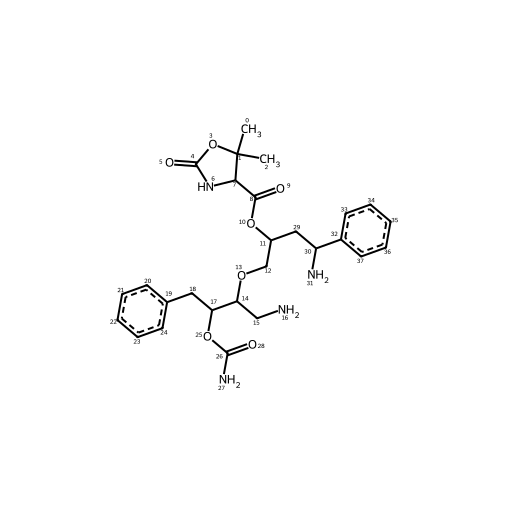 CC1(C)OC(=O)NC1C(=O)OC(COC(CN)C(Cc1ccccc1)OC(N)=O)CC(N)c1ccccc1